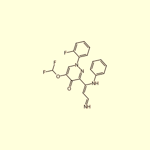 N=C/C=C(\Nc1ccccc1)c1nn(-c2ccccc2F)cc(OC(F)F)c1=O